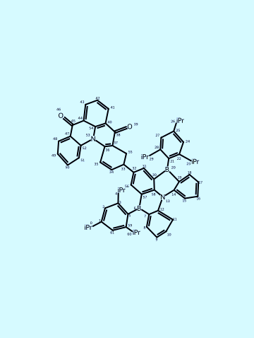 CC(C)c1cc(C(C)C)c(B2c3ccccc3N3c4ccccc4B(c4c(C(C)C)cc(C(C)C)cc4C(C)C)c4cc(C5C=Cc6c(c(=O)c7cccc8c(=O)c9ccccc9n6c78)C5)cc2c43)c(C(C)C)c1